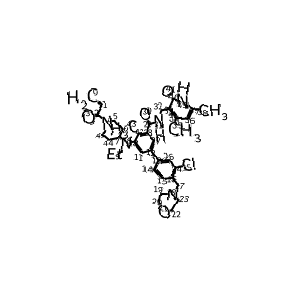 C=CC(=O)N1CCC(N(CC)c2cc(-c3ccc(CN4CCOCC4)c(Cl)c3)cc(C(=O)NCc3c(C)cc(C)[nH]c3=O)c2C)CC1